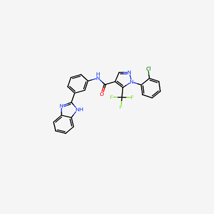 O=C(Nc1cccc(-c2nc3ccccc3[nH]2)c1)c1cnn(-c2ccccc2Cl)c1C(F)(F)F